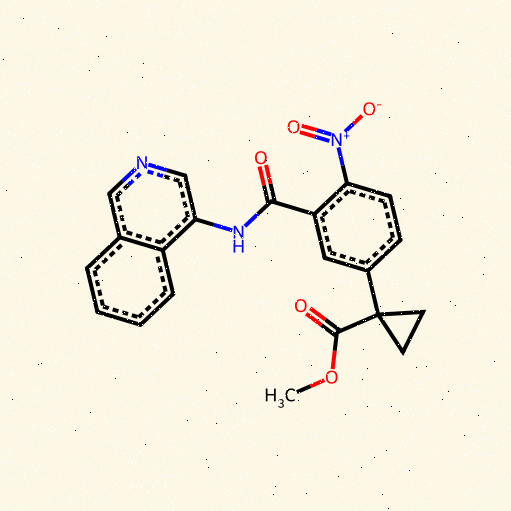 COC(=O)C1(c2ccc([N+](=O)[O-])c(C(=O)Nc3cncc4ccccc34)c2)CC1